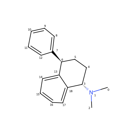 CN(C)[C@H]1CC[C@H](c2ccccc2)c2ccccc21